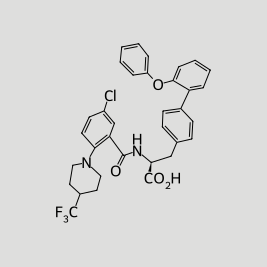 O=C(N[C@@H](Cc1ccc(-c2ccccc2Oc2ccccc2)cc1)C(=O)O)c1cc(Cl)ccc1N1CCC(C(F)(F)F)CC1